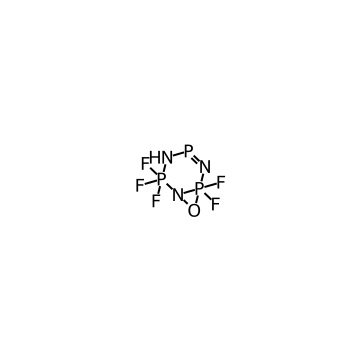 FP1(F)(F)NP=NP2(F)(F)ON12